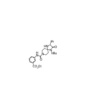 CCCCN1C(=O)C(C(C)C)NC12CCN(C(=O)Nc1cccc(C(=O)OCC)c1)CC2